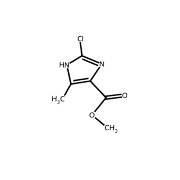 COC(=O)c1nc(Cl)[nH]c1C